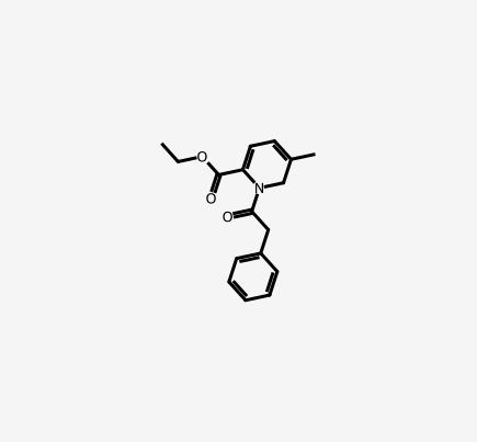 CCOC(=O)C1=CC=C(C)CN1C(=O)Cc1ccccc1